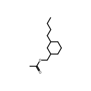 CCC[CH]C1CCCC(COC(C)=O)C1